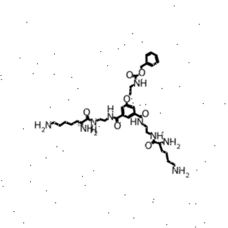 NCCCCC[C@H](N)C(=O)NCCNC(=O)c1cc(OCCNC(=O)OCc2ccccc2)cc(C(=O)NCCNC(=O)C(N)CCCCN)c1